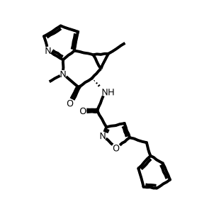 CC1C2c3cccnc3N(C)C(=O)[C@@H](NC(=O)c3cc(Cc4ccccc4)on3)C12